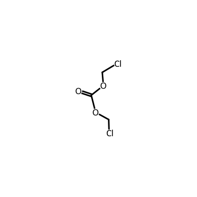 O=C(OCCl)OCCl